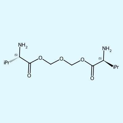 CC(C)[C@H](N)C(=O)OCOCOC(=O)[C@@H](N)C(C)C